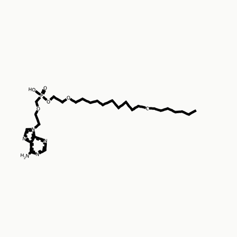 CCCCCCCCCCCCCCCCCCOCCOP(=O)(O)COCCn1cnc2c(N)ncnc21